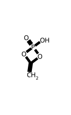 C=C1OP(=O)(O)O1